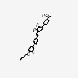 C=CCCOc1ccc(-c2ccc(/C=C/c3ccc(C4=CCC(C(C)O)CC4)c(F)c3F)cc2)cc1F